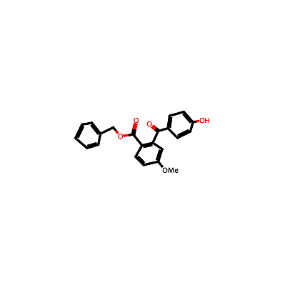 COc1ccc(C(=O)OCc2ccccc2)c(C(=O)c2ccc(O)cc2)c1